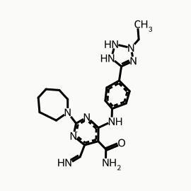 CCN1N=C(c2ccc(Nc3nc(N4CCCCCC4)nc(C=N)c3C(N)=O)cc2)NN1